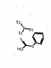 CCN(CC)CC.OC(=S)Sc1ccccc1